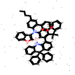 CCCCc1ccc(N2c3cc4c(c5c3B(c3oc6ccccc6c32)N2c3ccccc3C(c3ccccc3)(c3ccccc3)c3cccc-5c32)C(C)(C)c2ccccc2-4)c(-c2ccccc2)c1